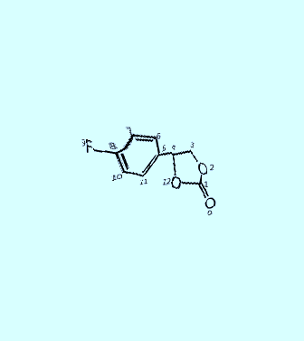 O=C1OCC(c2ccc(F)cc2)O1